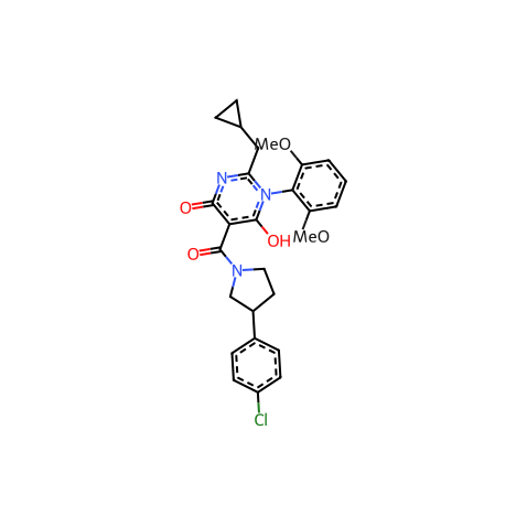 COc1cccc(OC)c1-n1c(CC2CC2)nc(=O)c(C(=O)N2CCC(c3ccc(Cl)cc3)C2)c1O